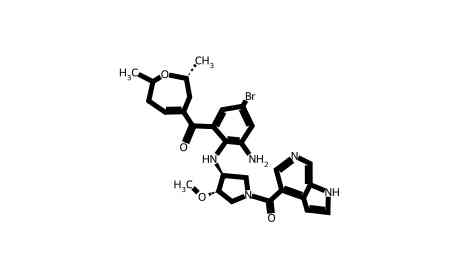 CO[C@H]1CN(C(=O)c2cncc3[nH]ccc23)C[C@@H]1Nc1c(N)cc(Br)cc1C(=O)C1=CCC(C)O[C@H](C)C1